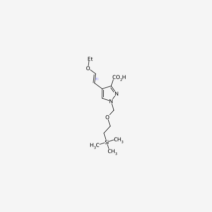 CCO/C=C/c1cn(COCC[Si](C)(C)C)nc1C(=O)O